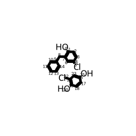 Oc1ccc(Cl)cc1Cc1ccccc1.Oc1ccc(O)c(Cl)c1